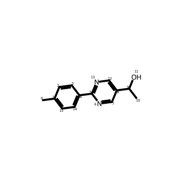 Cc1ccc(-c2ncc(C(C)O)cn2)cc1